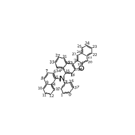 c1ccc(N(c2cccc3ccccc23)c2cc3oc4cc5ccccc5cc4c3c3ccccc23)cc1